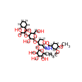 COC1CCC(C(=O)NCC2OCCC(OC3OC(CO)C(O)C(OC(CC4CCCCC4)C(=O)O)C3O)C2OC2OC(C)C(O)C(O)C2O)CC1OC